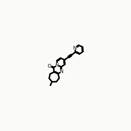 CC1CCc2nc3cc(C#Cc4ccccn4)ccn3c(=O)c2CC1